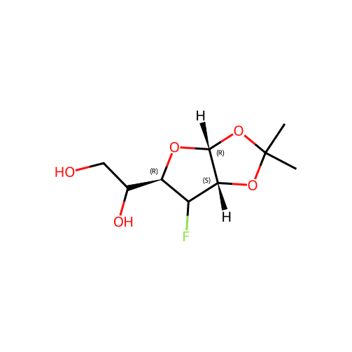 CC1(C)O[C@H]2O[C@H](C(O)CO)C(F)[C@H]2O1